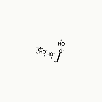 C[O-].[OH-].[OH-].[OH-].[Ti+4]